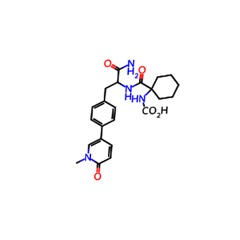 Cn1cc(-c2ccc(CC(NC(=O)C3(NC(=O)O)CCCCC3)C(N)=O)cc2)ccc1=O